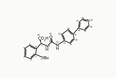 CC(C)(C)c1ccccc1[C@H](NC(=O)Nc1ccc(-c2ccncc2)cc1)C(=O)O